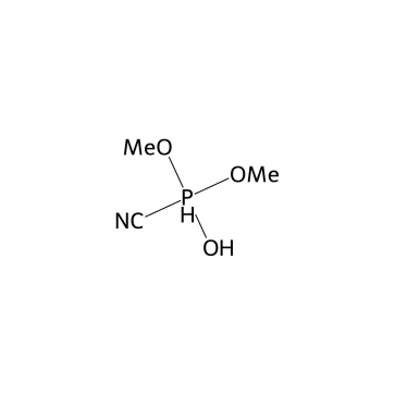 CO[PH](O)(C#N)OC